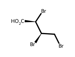 O=C(O)[C@@H](Br)[C@H](Br)CBr